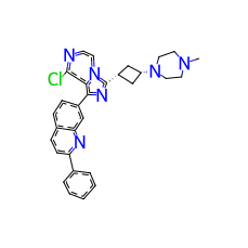 CN1CCN([C@H]2C[C@@H](c3nc(-c4ccc5ccc(-c6ccccc6)nc5c4)c4c(Cl)nccn43)C2)CC1